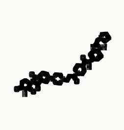 C[C@H]1CCCN1Cc1nc2cc(NC(=O)C3CCN(C(=O)CCN4CCN(c5ccc6c(c5)C(=O)N(C5CCC(=O)NC5=O)C6=O)CC4)CC3)ccc2[nH]1